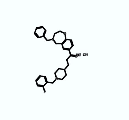 Cl.Cl.O=C(CCC1CCN(Cc2ccccc2F)CC1)c1ccc2c(c1)CN(Cc1ccccc1)CCO2